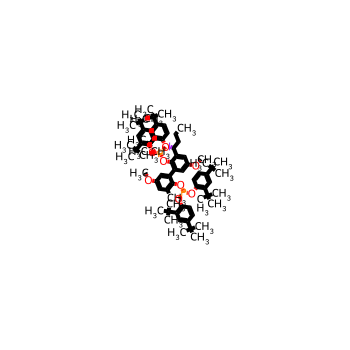 CCCC(I)c1cc(OC)cc(-c2cc(OC)cc(C)c2OP(Oc2ccc(C(C)(C)C)cc2C(C)(C)C)Oc2ccc(C(C)(C)C)cc2C(C)(C)C)c1OP(Oc1ccc(C(C)(C)C)cc1C(C)(C)C)Oc1ccc(C(C)(C)C)cc1C(C)(C)C